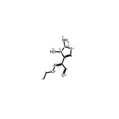 CCO/N=C(\[C]=O)C1=CSN(N)N1O